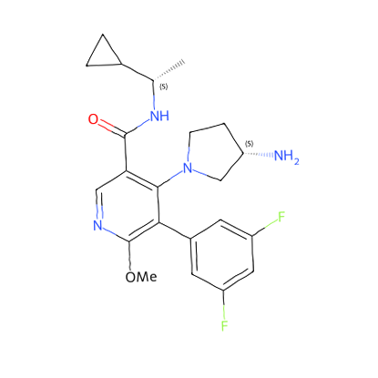 COc1ncc(C(=O)N[C@@H](C)C2CC2)c(N2CC[C@H](N)C2)c1-c1cc(F)cc(F)c1